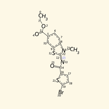 CCOC(=O)c1ccc2c(c1)s/c(=N\C(=O)c1ccc(Br)s1)n2C